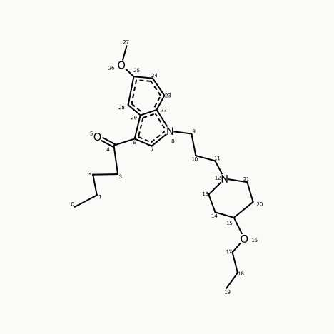 CCCCC(=O)c1cn(CCCN2CCC(OCCC)CC2)c2ccc(OC)cc12